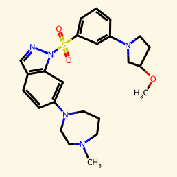 COC1CCN(c2cccc(S(=O)(=O)n3ncc4ccc(N5CCCN(C)CC5)cc43)c2)C1